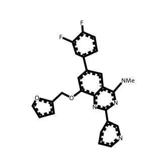 CNc1nc(-c2cccnc2)nc2c(OCc3ccco3)cc(-c3ccc(F)c(F)c3)cc12